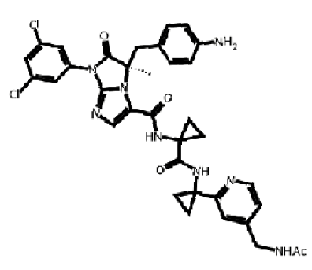 CC(=O)NCc1ccnc(C2(NC(=O)C3(NC(=O)c4cnc5n4[C@](C)(Cc4ccc(N)cc4)C(=O)N5c4cc(Cl)cc(Cl)c4)CC3)CC2)c1